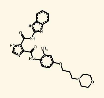 Cc1cc(OCCCN2CCOCC2)ccc1NC(=O)c1nc[nH]c1C(=O)Nc1nc2ccccc2[nH]1